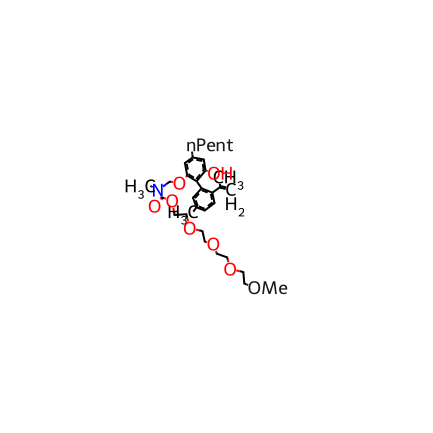 C=C(C)c1ccc(C)cc1-c1c(O)cc(CCCCC)cc1OCN(C)C(=O)OCCOCCOCCOCCOC